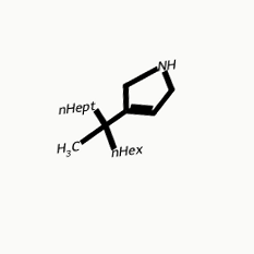 CCCCCCCC(C)(CCCCCC)C1=CCNC1